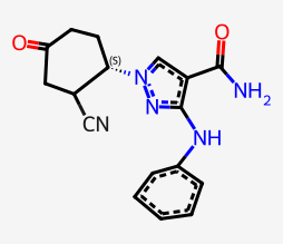 N#CC1CC(=O)CC[C@@H]1n1cc(C(N)=O)c(Nc2ccccc2)n1